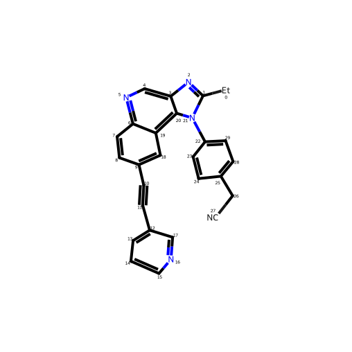 CCc1nc2cnc3ccc(C#Cc4cccnc4)cc3c2n1-c1ccc(CC#N)cc1